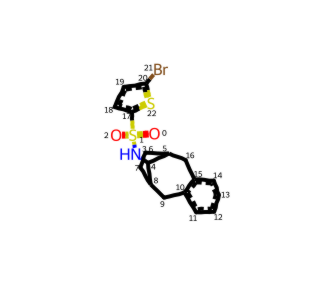 O=S(=O)(NC1C2CCC1Cc1ccccc1C2)c1ccc(Br)s1